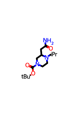 CC(C)N1CCN(C(=O)OC(C)(C)C)CC1CC(N)=O